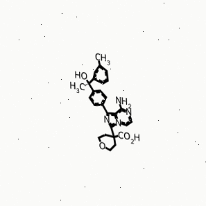 Cc1cccc([C@](C)(O)c2ccc(-c3nc(C4(C(=O)O)CCOCC4)n4ccnc(N)c34)cc2)c1